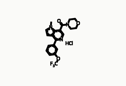 Cl.Cn1ccc2c(-c3cccc(OC(F)(F)F)c3)ncc(C(=O)N3CCOCC3)c21